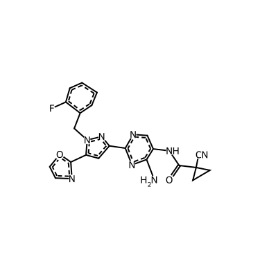 N#CC1(C(=O)Nc2cnc(-c3cc(-c4ncco4)n(Cc4ccccc4F)n3)nc2N)CC1